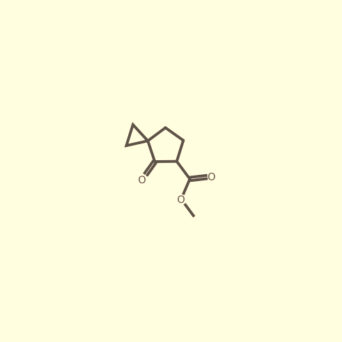 COC(=O)C1CCC2(CC2)C1=O